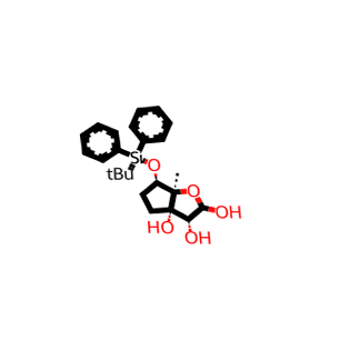 CC(C)(C)[Si](O[C@H]1CC[C@]2(O)[C@@H](O)C(O)O[C@]12C)(c1ccccc1)c1ccccc1